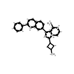 CC1CC(c2nc(-c3ccc4ccc(-c5ccccc5)nc4c3)c3c(N)nccn23)C1